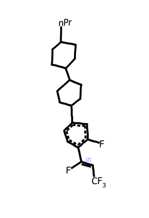 CCCC1CCC(C2CCC(c3ccc(/C(F)=C/C(F)(F)F)c(F)c3)CC2)CC1